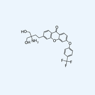 NC(CO)(CO)CCc1ccc2c(=O)c3ccc(Oc4ccc(C(F)(F)F)cc4)cc3oc2c1